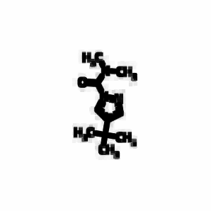 CN(C)C(=O)n1cc(C(C)(C)C)cn1